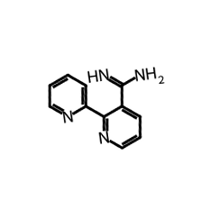 N=C(N)c1cccnc1-c1ccccn1